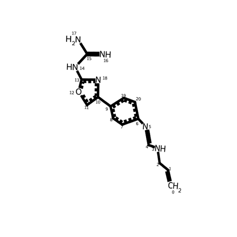 C=CCN/C=N/c1ccc(-c2coc(NC(=N)N)n2)cc1